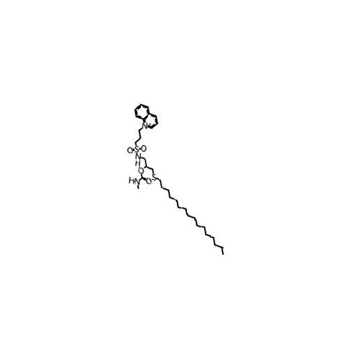 CCCCCCCCCCCCCCCCSCC(CNS(=O)(=O)CCC[n+]1cccc2ccccc21)OC(=O)NC